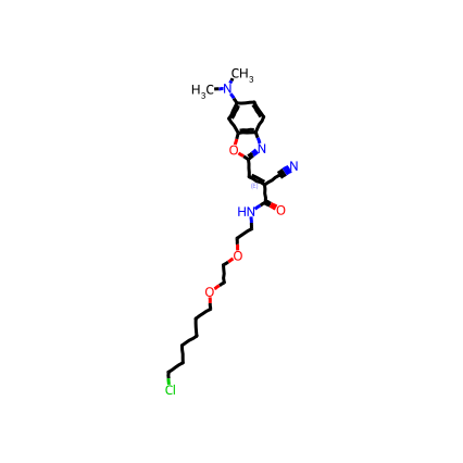 CN(C)c1ccc2nc(/C=C(\C#N)C(=O)NCCOCCOCCCCCCCl)oc2c1